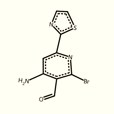 Nc1cc(-c2nccs2)nc(Br)c1C=O